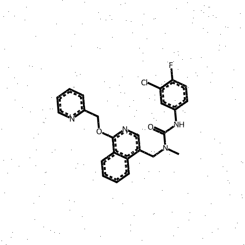 CN(Cc1cnc(OCc2ccccn2)c2ccccc12)C(=O)Nc1ccc(F)c(Cl)c1